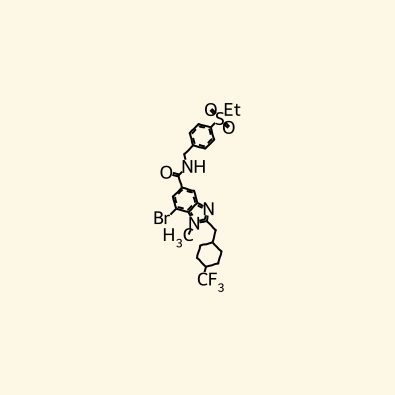 CCS(=O)(=O)c1ccc(CNC(=O)c2cc(Br)c3c(c2)nc(CC2CCC(C(F)(F)F)CC2)n3C)cc1